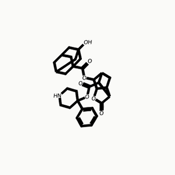 O=C1OC2C3CC(C2OC(=O)C24CC5CC(CC(O)(C5)C2)C4)C(C(=O)OC2(c4ccccc4)CCNCC2)C13